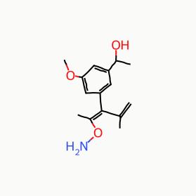 C=C(C)/C(=C(/C)ON)c1cc(OC)cc(C(C)O)c1